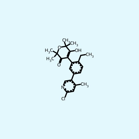 CCc1ccc(-c2cnc(Cl)cc2C)cc1C1=C(O)C(C)(C)OC(C)(C)C1=O